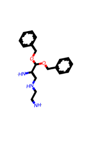 [NH]CCNCC([NH])C(OCc1ccccc1)OCc1ccccc1